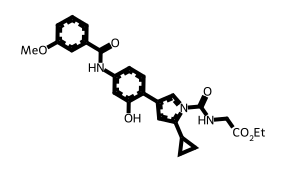 CCOC(=O)CNC(=O)n1cc(-c2ccc(NC(=O)c3cccc(OC)c3)cc2O)cc1C1CC1